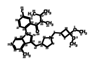 COC1(OC)CC(CN2CC[C@@H](Cc3cn(-c4ccc(F)cc4C(=O)N(C)C(C)C)c4cncc(C)c34)C2)C1